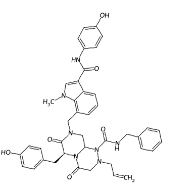 C=CCN1CC(=O)N2C(CN(Cc3cccc4c(C(=O)Nc5ccc(O)cc5)cn(C)c34)C(=O)[C@@H]2Cc2ccc(O)cc2)N1C(=O)NCc1ccccc1